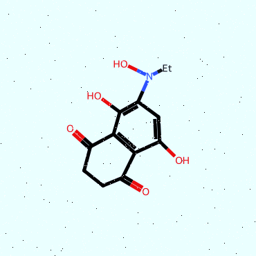 CCN(O)c1cc(O)c2c(c1O)C(=O)CCC2=O